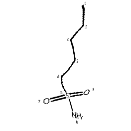 CCCCCS([NH])(=O)=O